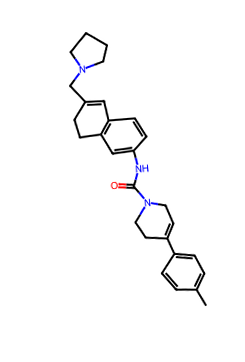 Cc1ccc(C2=CCN(C(=O)Nc3ccc4c(c3)CCC(CN3CCCC3)=C4)CC2)cc1